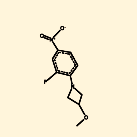 COC1CN(c2ccc([N+](=O)[O-])cc2F)C1